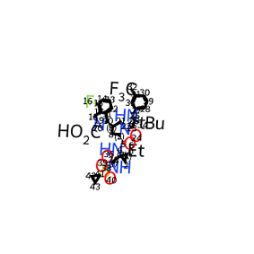 CC[C@@H]1C[C@]1(NC(=O)[C@@H]1C[C@@H](C2c3cccc(F)c3CN2C(=O)O)CN1C(=O)[C@@H](Nc1cccc(C(F)(F)F)c1)C(C)(C)C)C(=O)NS(=O)(=O)C1CC1